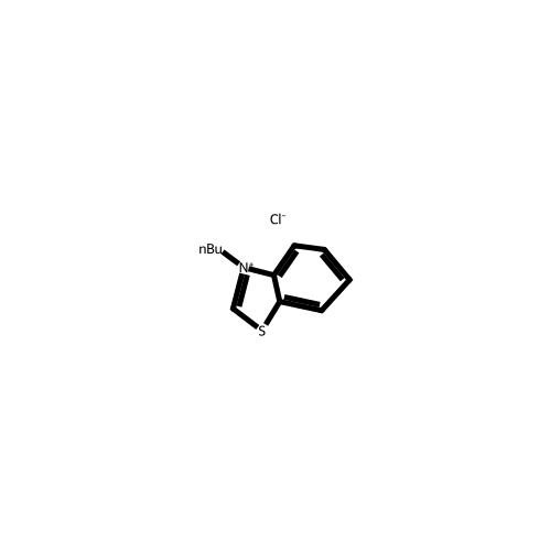 CCCC[n+]1csc2ccccc21.[Cl-]